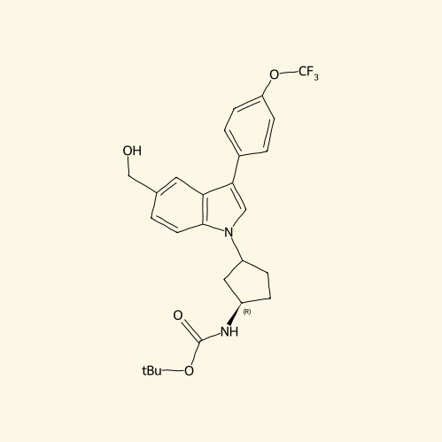 CC(C)(C)OC(=O)N[C@@H]1CCC(n2cc(-c3ccc(OC(F)(F)F)cc3)c3cc(CO)ccc32)C1